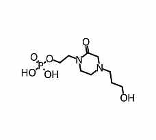 O=C1CN(CCCO)CCN1CCOP(=O)(O)O